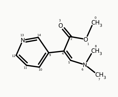 COC(=O)C(=CN(C)C)c1cccnc1